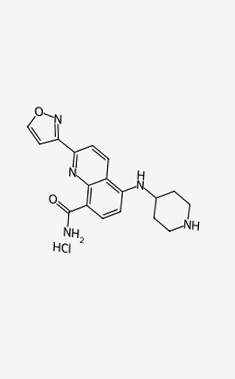 Cl.NC(=O)c1ccc(NC2CCNCC2)c2ccc(-c3ccon3)nc12